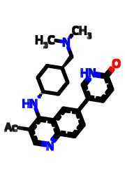 CC(=O)c1cnc2ccc(-c3ccc(=O)[nH]c3)cc2c1N[C@H]1CC[C@H](CN(C)C)CC1